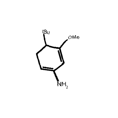 COC1=CC(N)=CCC1C(C)(C)C